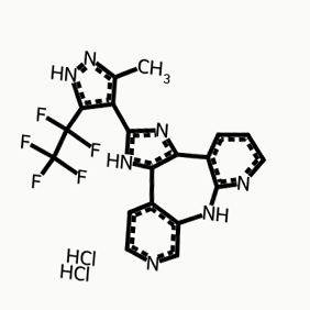 Cc1n[nH]c(C(F)(F)C(F)(F)F)c1-c1nc2c([nH]1)-c1ccncc1Nc1ncccc1-2.Cl.Cl